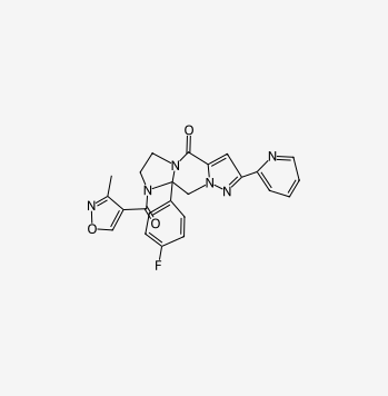 Cc1nocc1C(=O)N1CCN2C(=O)c3cc(-c4ccccn4)nn3CC12c1ccc(F)cc1